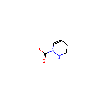 O=C(O)N1C=CCCN1